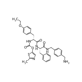 CCOc1ccc(C[C@@H](NC(=O)Oc2cnc(C)s2)C(=O)N[C@@H](Cc2ccccc2)C(=O)NCc2ccc(CN)cc2)cc1